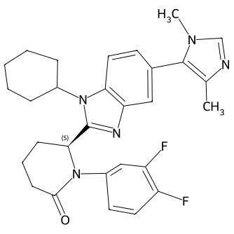 Cc1ncn(C)c1-c1ccc2c(c1)nc([C@@H]1CCCC(=O)N1c1ccc(F)c(F)c1)n2C1CCCCC1